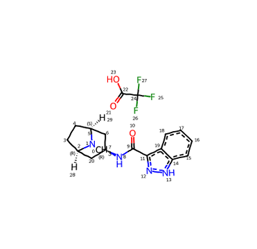 CN1[C@@H]2CC[C@H]1C[C@@H](NC(=O)c1n[nH]c3ccccc13)C2.O=C(O)C(F)(F)F